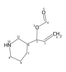 C=CC(OC=O)C1CCCNC1